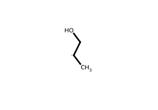 C[CH]CO